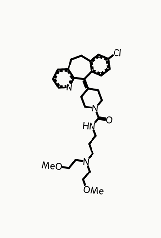 COCCN(CCCNC(=O)N1CCC(=C2c3ccc(Cl)cc3CCc3cccnc32)CC1)CCOC